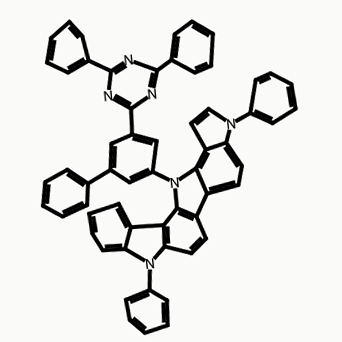 c1ccc(-c2cc(-c3nc(-c4ccccc4)nc(-c4ccccc4)n3)cc(-n3c4c(ccc5c4ccn5-c4ccccc4)c4ccc5c(c6ccccc6n5-c5ccccc5)c43)c2)cc1